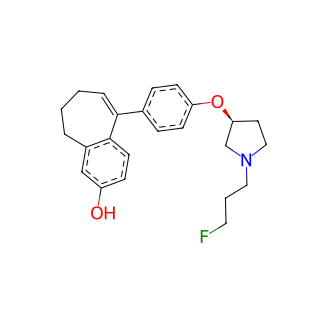 Oc1ccc2c(c1)CCCC=C2c1ccc(O[C@H]2CCN(CCCF)C2)cc1